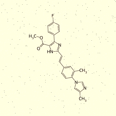 COC(=O)c1[nH]c(/C=C/c2ccc(-n3cnc(C)c3)c(C)c2)nc1-c1ccc(F)cc1